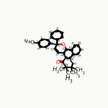 COc1ccc(C2(c3ccccc3)C=Cc3c4c(c5ccccc5c3O2)CC(C)(C)C(C)(C)C4=O)cc1